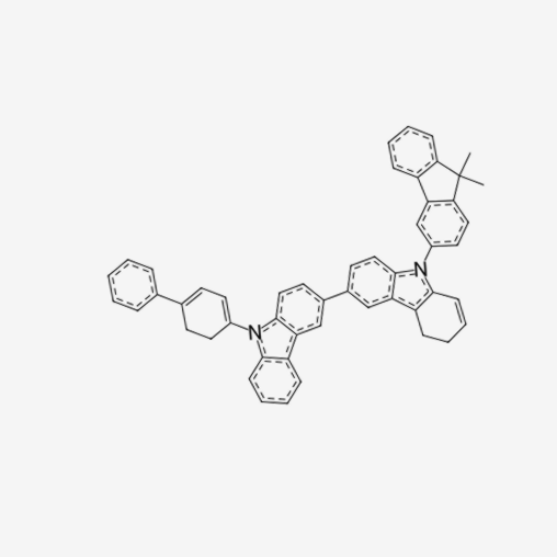 CC1(C)c2ccccc2-c2cc(-n3c4c(c5cc(-c6ccc7c(c6)c6ccccc6n7C6=CC=C(c7ccccc7)CC6)ccc53)CCC=C4)ccc21